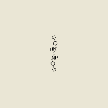 c1cc(N2CCCC2)ccc1CNCCCCNCc1ccc(N2CCCC2)cc1